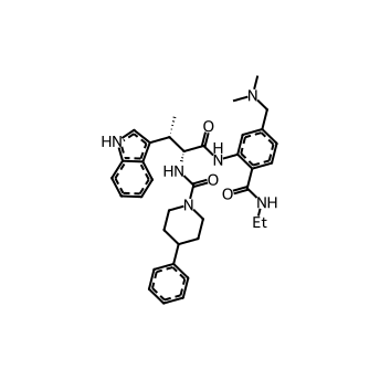 CCNC(=O)c1ccc(CN(C)C)cc1NC(=O)[C@H](NC(=O)N1CCC(c2ccccc2)CC1)[C@@H](C)c1c[nH]c2ccccc12